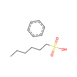 CCCCCCS(=O)(=O)O.c1ccccc1